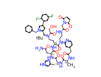 C[C@H](NC(=O)Cc1ccncc1)C(=O)N[C@H](Cc1c[nH]cn1)C(=O)N[C@@H](CC(N)=O)C(=O)N[C@@H](CCN(C(=O)CO)[C@@H](c1cc(-c2cc(F)ccc2F)cn1Cc1ccccc1)C(C)(C)C)C(=O)NCCNC(=O)CN1C(=O)C=CC1=O